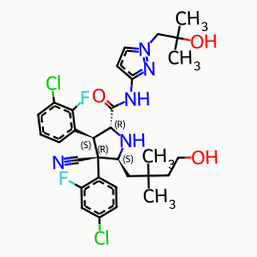 CC(C)(O)Cn1ccc(NC(=O)[C@@H]2N[C@@H](CC(C)(C)CCO)[C@](C#N)(c3ccc(Cl)cc3F)[C@H]2c2cccc(Cl)c2F)n1